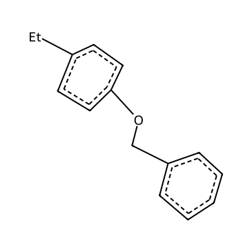 [CH2]Cc1ccc(OCc2ccccc2)cc1